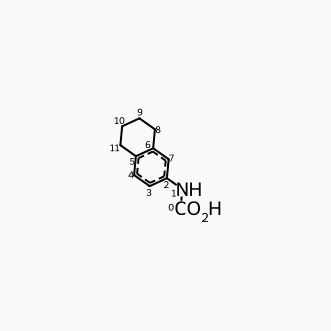 O=C(O)Nc1ccc2c(c1)CCCC2